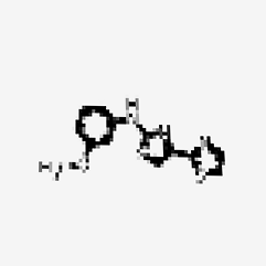 COc1cccc(Nc2nc(-c3nccs3)cs2)c1